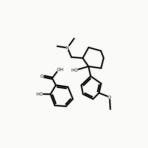 COc1cccc(C2(O)CCCCC2CN(C)C)c1.O=C(O)c1ccccc1O